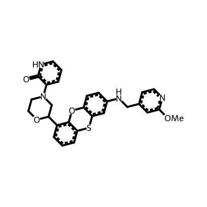 COc1cc(CNc2ccc3c(c2)Sc2cccc(C4CN(c5ccc[nH]c5=O)CCO4)c2O3)ccn1